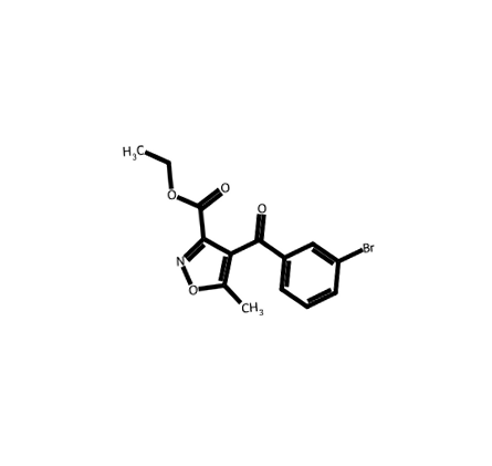 CCOC(=O)c1noc(C)c1C(=O)c1cccc(Br)c1